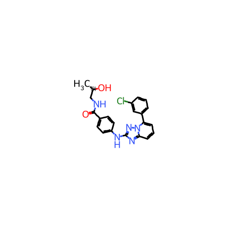 C[C@@H](O)CNC(=O)c1ccc(Nc2nc3cccc(-c4cccc(Cl)c4)n3n2)cc1